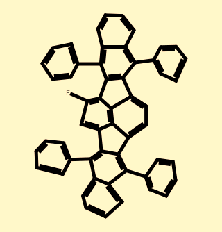 Fc1cc2c3c(ccc4c3c1-c1c-4c(-c3ccccc3)c3ccccc3c1-c1ccccc1)-c1c-2c(-c2ccccc2)c2ccccc2c1-c1ccccc1